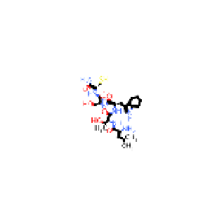 CC(C)C[C@H](N)C(=O)N[C@H](C(=O)N[C@@H](Cc1c[nH]c2ccccc12)C(=O)N[C@@H](CO)C(=O)N[C@@H](CS)C(N)=O)[C@@H](C)O